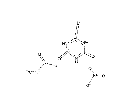 O=[N+]([O-])[O-].O=[N+]([O-])[O-].O=c1[nH]c(=O)[nH]c(=O)[nH]1.[Pt+2]